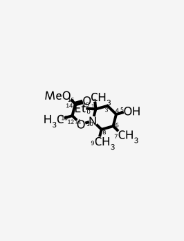 CCC1(C)CC(O)C(C)C(C)N1OC(C)C(=O)OC